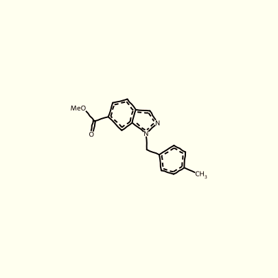 COC(=O)c1ccc2cnn(Cc3ccc(C)cc3)c2c1